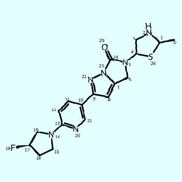 CC1NCC(N2Cc3cc(-c4ccc(N5CC[C@@H](F)C5)nc4)nn3C2=O)S1